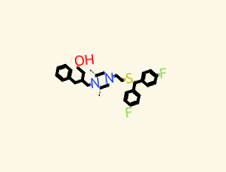 C[C@@H]1CN(CCSC(c2ccc(F)cc2)c2ccc(F)cc2)C[C@H](C)N1CC(CCO)Cc1ccccc1